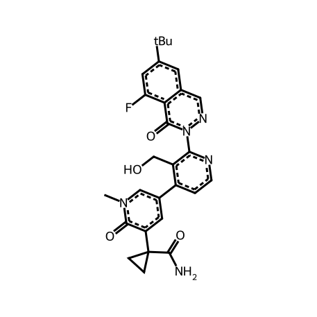 Cn1cc(-c2ccnc(-n3ncc4cc(C(C)(C)C)cc(F)c4c3=O)c2CO)cc(C2(C(N)=O)CC2)c1=O